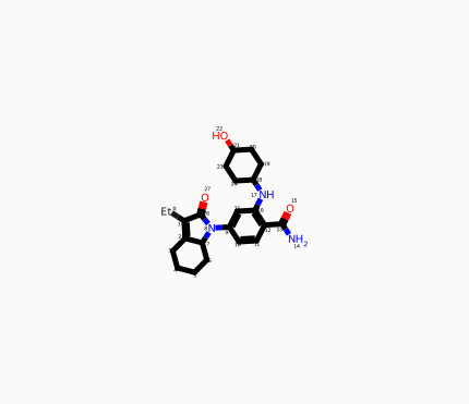 CCC1=C2CCCCC2N(c2ccc(C(N)=O)c(NC3CCC(O)CC3)c2)C1=O